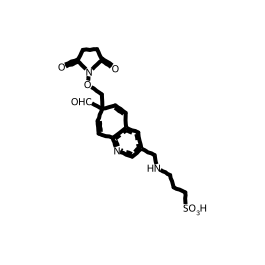 O=CC1(CON2C(=O)CCC2=O)C=Cc2cc(CNCCCS(=O)(=O)O)cnc2C=C1